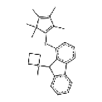 CC1=C(C)C(C)(C)[C]([Ti][c]2cccc3c2C([Si]2(C)CCC2)c2ccccc2-3)=C1C